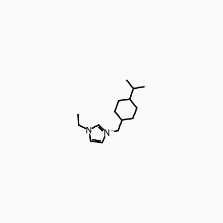 CCn1cc[n+](CC2CCC(C(C)C)CC2)c1